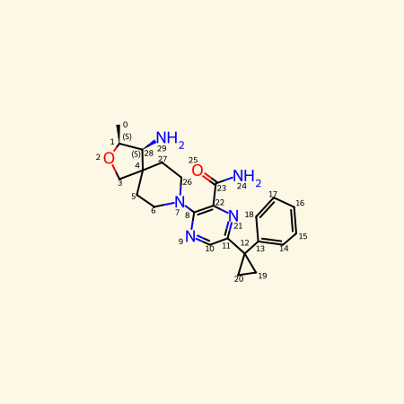 C[C@@H]1OCC2(CCN(c3ncc(C4(c5ccccc5)CC4)nc3C(N)=O)CC2)[C@@H]1N